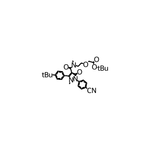 CN(CCOCC(=O)OC(C)(C)C)C(=O)c1c(-c2ccc(C(C)(C)C)cc2)n(C)n(-c2ccc(C#N)cc2)c1=O